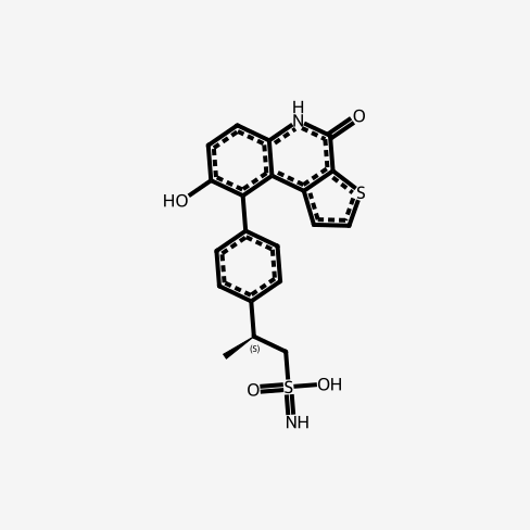 C[C@H](CS(=N)(=O)O)c1ccc(-c2c(O)ccc3[nH]c(=O)c4sccc4c23)cc1